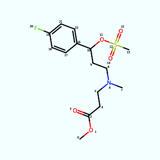 COC(=O)CCN(C)CCC(OS(C)(=O)=O)c1ccc(F)cc1